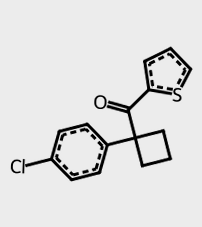 O=C(c1cccs1)C1(c2ccc(Cl)cc2)CCC1